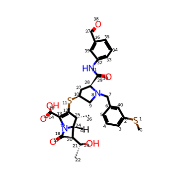 CSc1cccc(CN2C[C@@H](SC3=C(C(=O)O)N4C(=O)[C@H]([C@@H](C)O)[C@H]4[C@H]3C)C[C@H]2C(=O)Nc2cccc(C=O)c2)c1